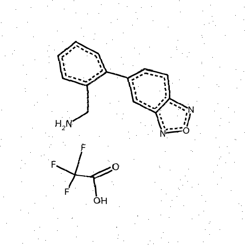 NCc1ccccc1-c1ccc2nonc2c1.O=C(O)C(F)(F)F